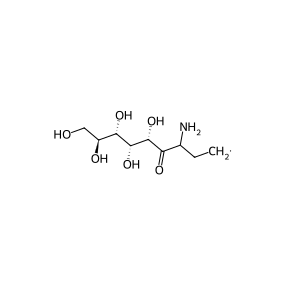 [CH2]CC(N)C(=O)[C@@H](O)[C@H](O)[C@@H](O)[C@@H](O)CO